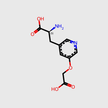 N[C@@H](Cc1cncc(OCC(=O)O)c1)C(=O)O